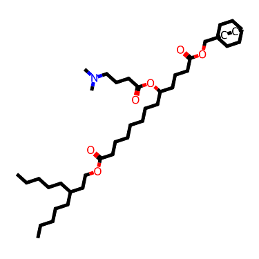 CCCCCC(CCCCC)CCOC(=O)CCCCCCCC(CCCC(=O)OCC12CCC(CC1)CC2)OC(=O)CCCN(C)C